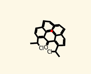 CC(Cl)c1ccc2ccccc2c1C(=O)c1c(C(C)Cl)ccc2ccccc12